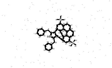 C[Si](C)(C)c1cc2c3c(Cc4ccccc4)[nH]c(Cc4ccccc4)c3c3cc([Si](C)(C)C)c4ccc5ccc1c1c5c4c3c21